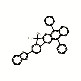 CC1(C)c2cc(-c3nc4ccccc4o3)ccc2-c2cc3c(-c4ccccc4)c4ccccc4c(-c4ccccc4)c3cc21